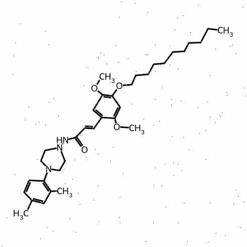 CCCCCCCCCCCOc1cc(OC)c(/C=C/C(=O)NN2CCN(c3ccc(C)cc3C)CC2)cc1OC